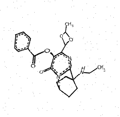 CCNC12CCC(CC1)Cn1c2nc(C2OC(C)O2)c(OC(=O)c2ccccc2)c1=O